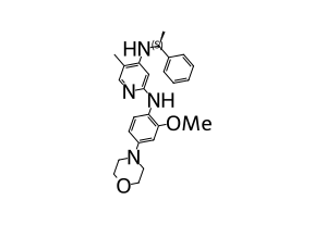 COc1cc(N2CCOCC2)ccc1Nc1cc(N[C@@H](C)c2ccccc2)c(C)cn1